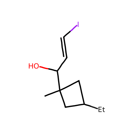 CCC1CC(C)(C(O)C=CI)C1